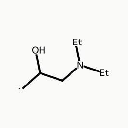 [CH2]C(O)CN(CC)CC